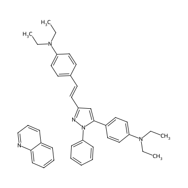 CCN(CC)c1ccc(C=Cc2cc(-c3ccc(N(CC)CC)cc3)n(-c3ccccc3)n2)cc1.c1ccc2ncccc2c1